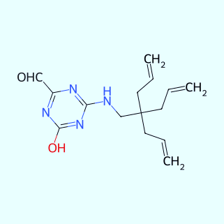 C=CCC(CC=C)(CC=C)CNc1nc(O)nc(C=O)n1